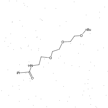 CCCCOCCOCCOCCNC(=O)C(C)C